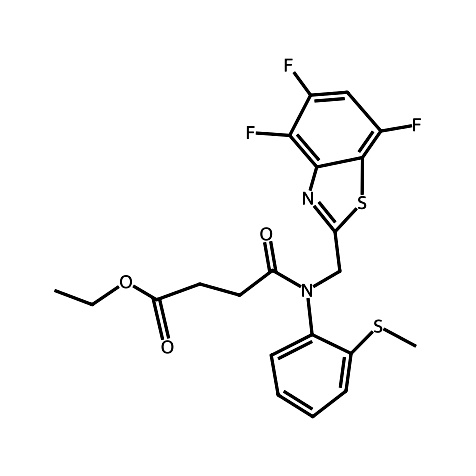 CCOC(=O)CCC(=O)N(Cc1nc2c(F)c(F)cc(F)c2s1)c1ccccc1SC